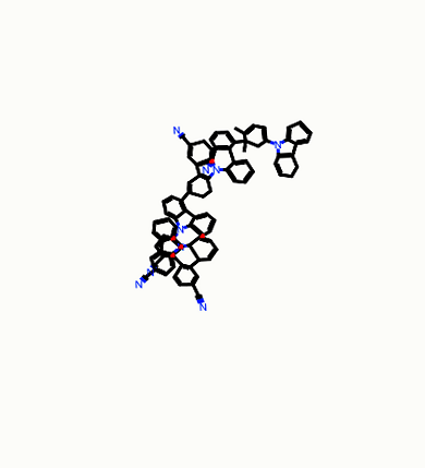 CC1=CC=C(n2c3c(c4ccccc42)CCC=C3)CC1(C)c1cccc(C#N)c1-c1ccccc1-n1c2c(c3c1C(C)CC(C#N)=C3)C=C(c1cccc3c1c1ccccc1n3-c1ccc(C#N)c(-c3ccc(C#N)cc3C3C=CC=CC3n3c4ccccc4c4cc(C#N)ccc43)c1)CC2